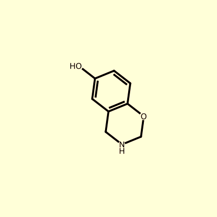 Oc1ccc2c(c1)CNCO2